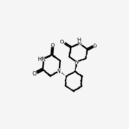 O=C1CN([C@H]2CCCC[C@@H]2N2CC(=O)NC(=O)C2)CC(=O)N1